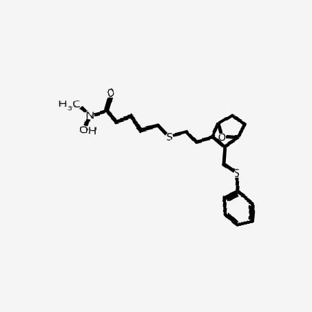 CN(O)C(=O)CCCCSCCC1C2CCC(O2)C1CSc1ccccc1